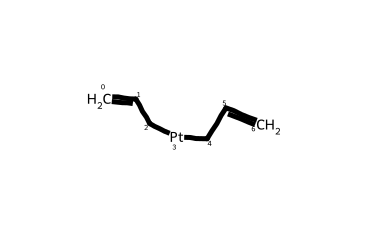 C=C[CH2][Pt][CH2]C=C